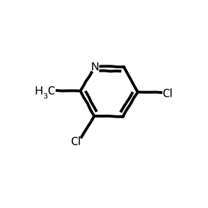 Cc1ncc(Cl)cc1Cl